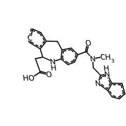 CN(Cc1nc2ccccc2[nH]1)C(=O)c1ccc2c(c1)Cc1ccccc1C(CC(=O)O)N2